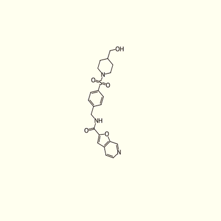 O=C(NCc1ccc(S(=O)(=O)N2CCC(CO)CC2)cc1)c1cc2ccncc2o1